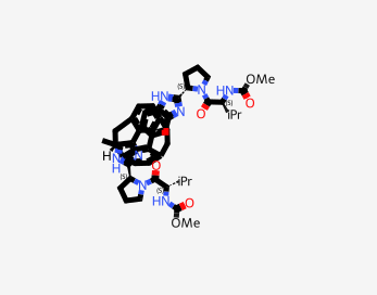 COC(=O)N[C@H](C(=O)N1CCC[C@H]1c1nc(-c2cc3ccc2C[C@@H](C)c2ccc(c(-c4ccc5[nH]c([C@@H]6CCCN6C(=O)[C@@H](NC(=O)OC)C(C)C)nc5c4)c2)CC3)c[nH]1)C(C)C